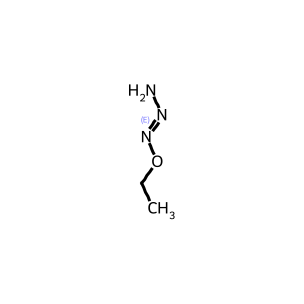 CCO/N=N/N